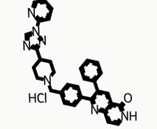 Cl.O=c1[nH]ccc2nc(-c3ccc(CN4CCC(c5ncn(-c6ccccn6)n5)CC4)cc3)c(-c3ccccc3)cc12